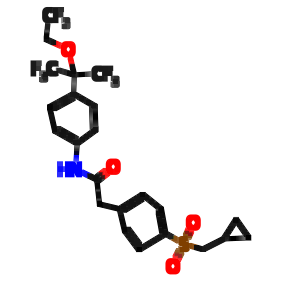 O=C(Cc1ccc(S(=O)(=O)CC2CC2)cc1)Nc1ccc(C(OCC(F)(F)F)(C(F)(F)F)C(F)(F)F)cc1